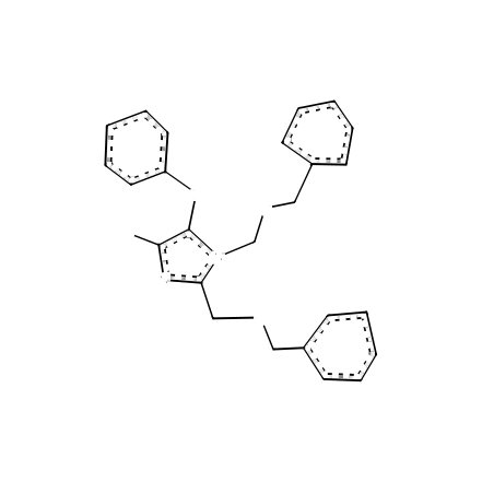 Cc1nc(COCc2ccccc2)n(COCc2ccccc2)c1Sc1ccccc1